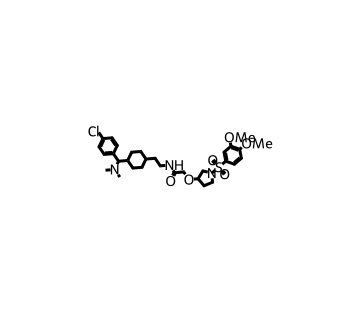 COc1ccc(S(=O)(=O)N2CCC(OCC(=O)NCCC3CCC(C(c4ccc(Cl)cc4)N(C)C)CC3)C2)cc1OC